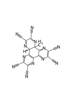 CC12N=C(C#N)C(C#N)=N[C@H]1c1nc(C#N)c(C#N)nc1-c1nc(C#N)c(C#N)nc12